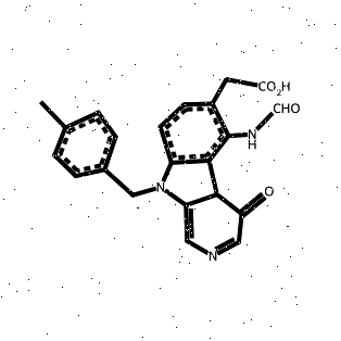 Cc1ccc(CN2C3=CN=CC(=O)C3c3c2ccc(CC(=O)O)c3NC=O)cc1